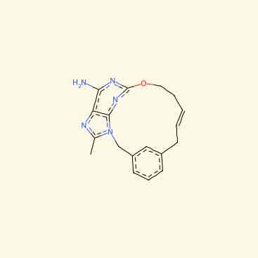 Cc1nc2c(N)nc3nc2n1Cc1cccc(c1)C/C=C/CCO3